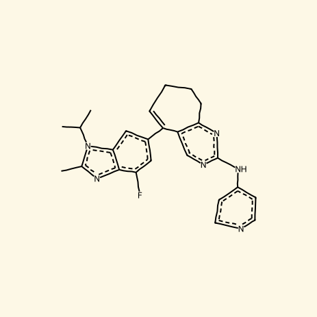 Cc1nc2c(F)cc(C3=CCCCc4nc(Nc5ccncc5)ncc43)cc2n1C(C)C